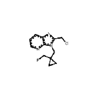 FCC1(Cn2c(CCl)nc3cccnc32)CC1